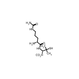 CC(C)(S)[C@H](NC(=O)[C@@H](N)CCCNC(N)=O)C(=O)O